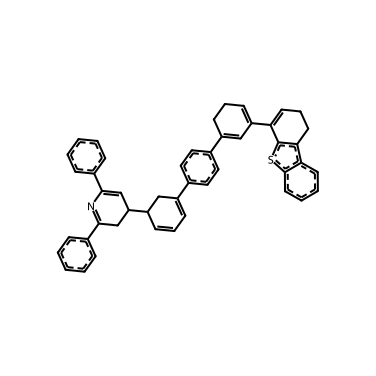 C1=CC(C2C=C(c3ccccc3)N=C(c3ccccc3)C2)CC(c2ccc(C3=CC(C4=CCCc5c4sc4ccccc54)=CCC3)cc2)=C1